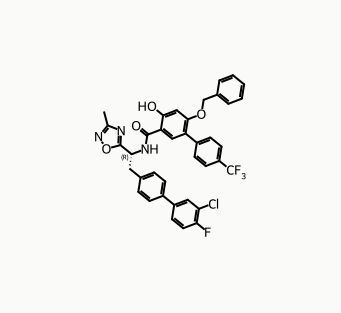 Cc1noc([C@@H](Cc2ccc(-c3ccc(F)c(Cl)c3)cc2)NC(=O)c2cc(-c3ccc(C(F)(F)F)cc3)c(OCc3ccccc3)cc2O)n1